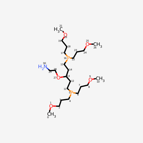 COCCCP(CCCOC)CCC(CCP(CCCOC)CCCOC)OCCN